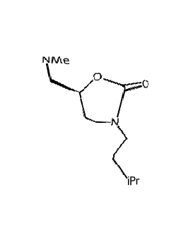 CNC[C@@H]1CN(CCC(C)C)C(=O)O1